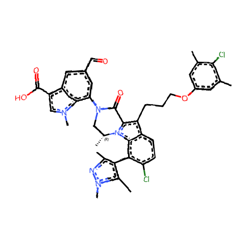 Cc1cc(OCCCc2c3n(c4c(-c5c(C)nn(C)c5C)c(Cl)ccc24)[C@H](C)CN(c2cc(C=O)cc4c(C(=O)O)cn(C)c24)C3=O)cc(C)c1Cl